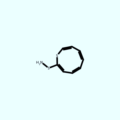 NSc1cccccccs1